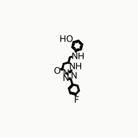 O=C1CC(CNc2cccc(O)c2)Nc2nc(C3=CC=C(F)CC3)nn21